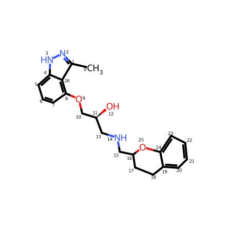 Cc1n[nH]c2cccc(OC[C@@H](O)CNCC3CCc4ccccc4O3)c12